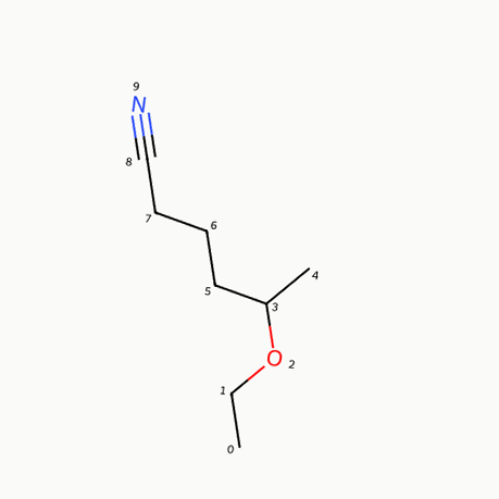 CCOC(C)CCCC#N